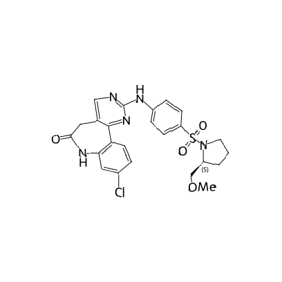 COC[C@@H]1CCCN1S(=O)(=O)c1ccc(Nc2ncc3c(n2)-c2ccc(Cl)cc2NC(=O)C3)cc1